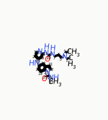 CCN(CC)CCCNC(=O)Nc1cc(Nc2ccc3c(ccn3C(=O)NC)c2)ccn1